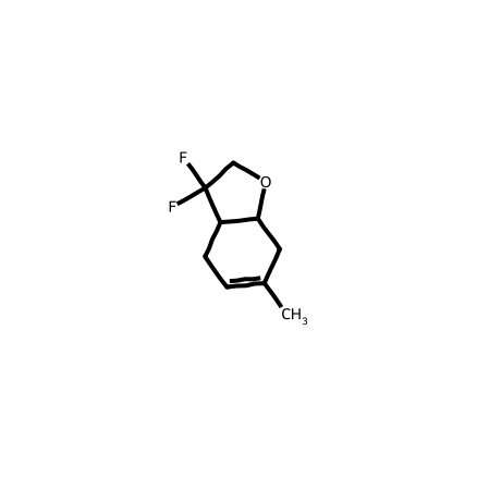 CC1=CCC2C(C1)OCC2(F)F